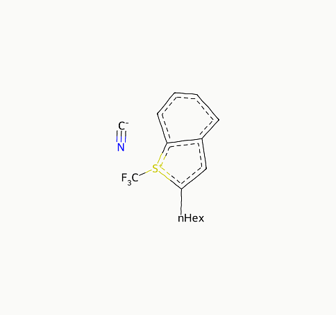 CCCCCCc1cc2ccccc2[s+]1C(F)(F)F.[C-]#N